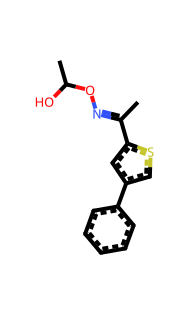 CC(=NOC(C)O)c1cc(-c2ccccc2)cs1